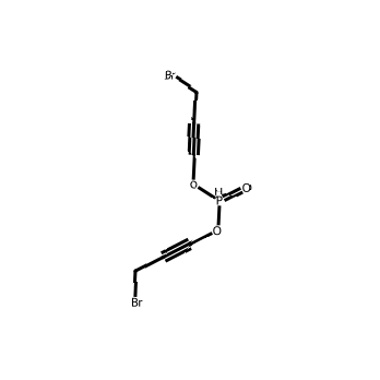 O=[PH](OC#CCBr)OC#CCBr